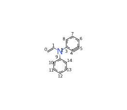 C=CN(c1c#cccc1)c1ccccc1